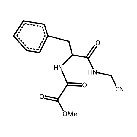 COC(=O)C(=O)NC(Cc1ccccc1)C(=O)NCC#N